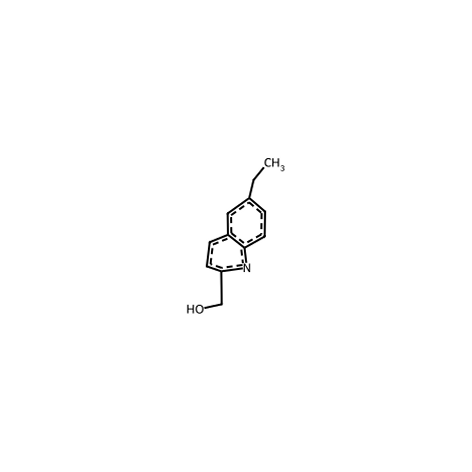 CCc1ccc2nc(CO)ccc2c1